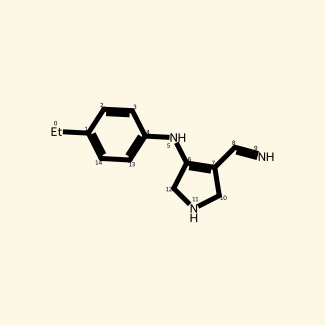 CCc1ccc(NC2=C(C=N)CNC2)cc1